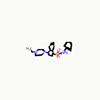 CCN1CCN(c2ccc(S(=O)(=O)Nc3ccccc3)c3ccccc23)CC1